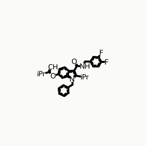 C=C(Oc1ccc2c(C(=O)NCc3ccc(F)c(F)c3)c(C(C)C)n(Cc3ccccc3)c2c1)C(C)C